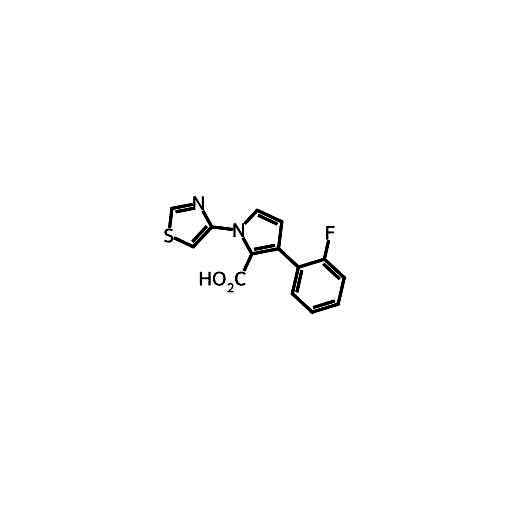 O=C(O)c1c(-c2ccccc2F)ccn1-c1cscn1